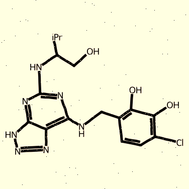 CC(C)C(CO)Nc1nc(NCc2ccc(Cl)c(O)c2O)c2nn[nH]c2n1